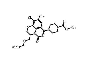 COCOC[C@H]1CSc2c(Cl)c(C(F)(F)F)cc3c(N4CCN(C(=O)OC(C)(C)C)CC4)nc(=O)n1c23